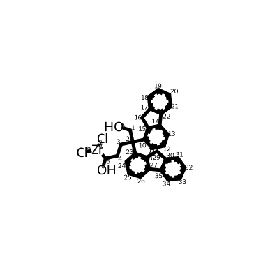 OCC(CC[CH](O)[Zr]([Cl])[Cl])(c1cccc2c1Cc1ccccc1-2)c1cccc2c1Cc1ccccc1-2